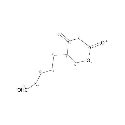 C=C1CC(=O)OCC1CCCCC=O